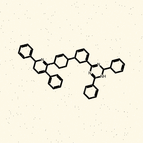 C1=CCC(C2N=C(C3=CC=CC(C4C=CC(C5=NC(c6ccccc6)CC=C5c5ccccc5)CC4)C3)N=C(C3=CCCC=C3)N2)C=C1